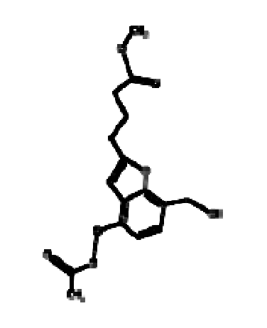 COC(=O)CCCc1cc2c(OOC(C)=O)ccc(CO)c2o1